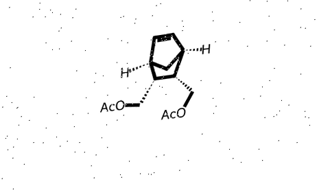 CC(=O)OC[C@@H]1[C@H](COC(C)=O)[C@H]2C=C[C@@H]1C2